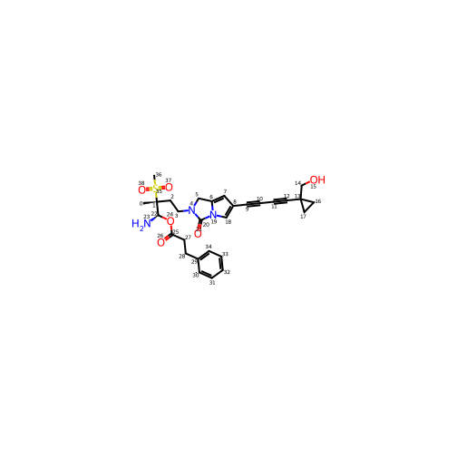 C[C@@](CCN1Cc2cc(C#CC#CC3(CO)CC3)cn2C1=O)([C@H](N)OC(=O)CCc1[c]cccc1)S(C)(=O)=O